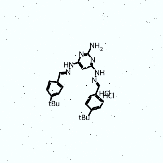 CC(C)(C)c1ccc(C=NNc2cc(NN=Cc3ccc(C(C)(C)C)cc3)nc(N)n2)cc1.Cl.Cl